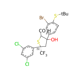 CC(C)(C)Sc1ccc(C2(O)C[C@](c3cc(Cl)cc(Cl)c3)(C(F)(F)F)SC2C(=O)O)cc1Br